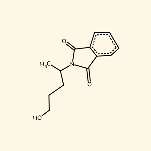 CC(CCCO)N1C(=O)c2ccccc2C1=O